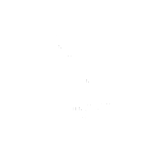 CC1(C(=O)c2ccc3c(ccn3Cc3ccc(OCc4ccc5ccccc5n4)cc3)c2)C=CC=CC1S(N)(=O)=O